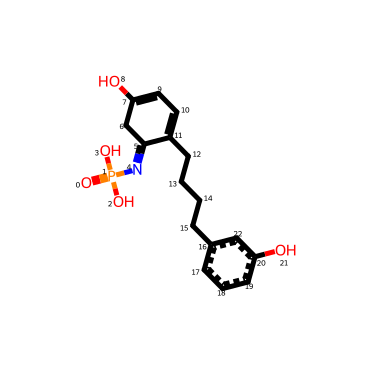 O=P(O)(O)N=C1CC(O)=CC=C1CCCCc1cccc(O)c1